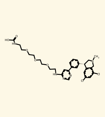 CN1Cc2c(Cl)cc(Cl)cc2[C@H](c2cccc(-c3cc(NCCOCCOCCOCCNC(=O)O)ncn3)c2)C1